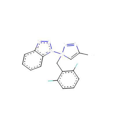 O=C([O-])C1=C[N+](Cc2c(F)cccc2F)(n2nnc3ccccc32)N=N1